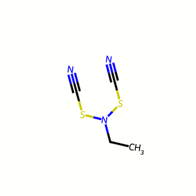 CCN(SC#N)SC#N